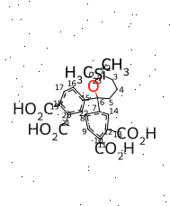 C[Si]1(C)CCCC(c2ccc(C(=O)O)c(C(=O)O)c2)(c2ccc(C(=O)O)c(C(=O)O)c2)O1